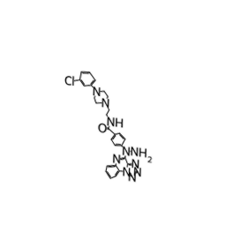 NN(c1ccc(C(=O)NCCN2CCN(c3cccc(Cl)c3)CC2)cc1)c1nc2ccccc2n2nnnc12